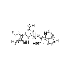 CCCN(CCC(CC=N)N/C=C(\C=N)c1ncnc2[nH]ccc12)C(=N)N